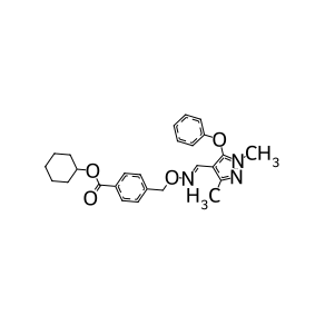 Cc1nn(C)c(Oc2ccccc2)c1C=NOCc1ccc(C(=O)OC2CCCCC2)cc1